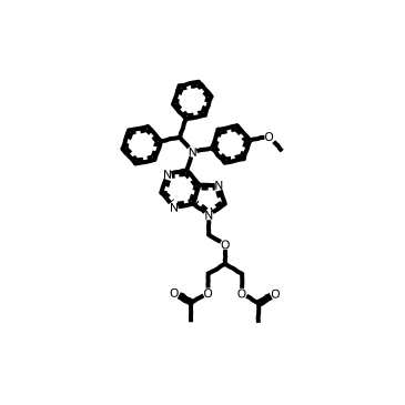 COc1ccc(N(c2ncnc3c2ncn3COC(COC(C)=O)COC(C)=O)C(c2ccccc2)c2ccccc2)cc1